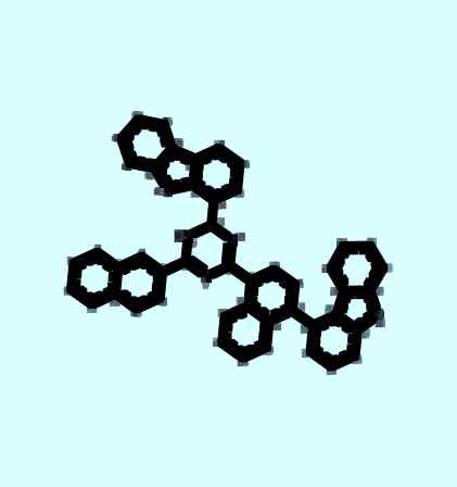 c1ccc2cc(C3=NC(c4ccc(-c5cccc6oc7ccccc7c56)c5ccccc45)=NC(c4cccc5c4sc4ccccc45)N3)ccc2c1